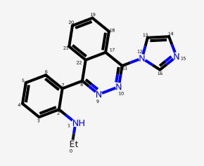 CCNc1ccccc1-c1nnc(-n2ccnc2)c2ccccc12